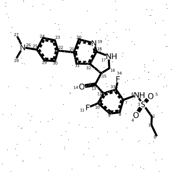 CCCS(=O)(=O)Nc1ccc(F)c(C(=O)C2CNc3ncc(-c4ccc(N(C)C)cc4)cc32)c1F